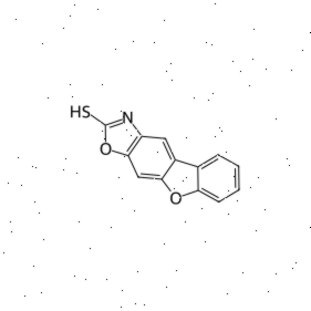 Sc1nc2cc3c(cc2o1)oc1ccccc13